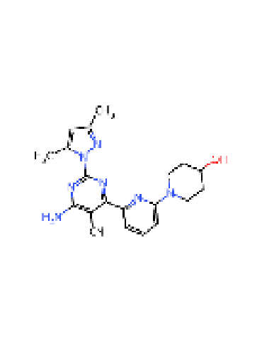 Cc1cc(C)n(-c2nc(N)c(C#N)c(-c3cccc(N4CCC(O)CC4)n3)n2)n1